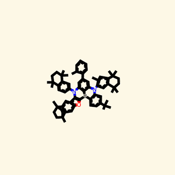 Cc1ccccc1-c1cc2c3c(c1)N(c1ccc4c(c1)C(C)(C)CCC4(C)C)c1c(oc4cc5c(cc14)C1(C)CCC5(C)CC1)B3c1ccc(C(C)(C)C)cc1N2c1cc2c(cc1C)C(C)(C)CCC2(C)C